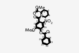 COC(=O)[C@H]1CCCCN1C(=O)c1cc(OC)c(OC(=O)c2ccccc2)cc1[N+](=O)[O-]